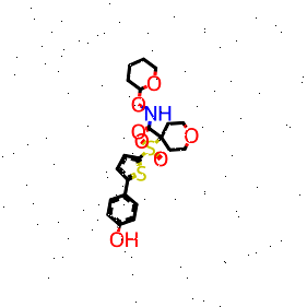 O=C(NOC1CCCCO1)C1(S(=O)(=O)c2ccc(-c3ccc(O)cc3)s2)CCOCC1